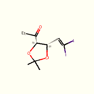 CCC(=O)[C@H]1OC(C)(C)O[C@H]1C=C(I)I